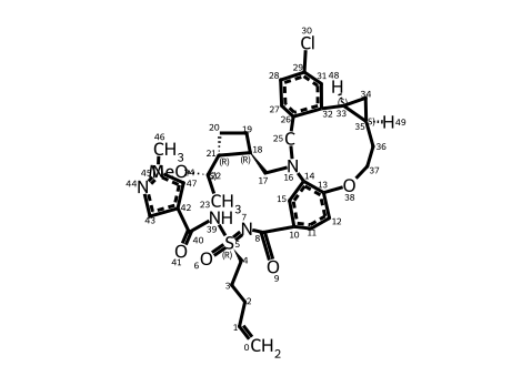 C=CCCC[S@](=O)(=NC(=O)c1ccc2c(c1)N(C[C@@H]1CC[C@H]1[C@H](C)OC)Cc1ccc(Cl)cc1[C@H]1C[C@H]1CCO2)NC(=O)c1cnn(C)c1